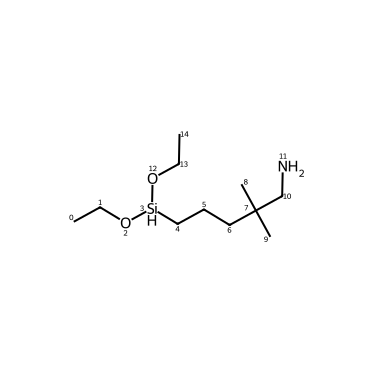 CCO[SiH](CCCC(C)(C)CN)OCC